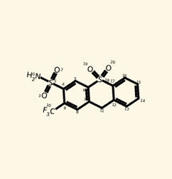 NS(=O)(=O)c1cc2c(cc1C(F)(F)F)Cc1ccccc1S2(=O)=O